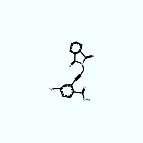 COC(=O)c1ccc(N)cc1C#CCN1C(=O)c2ccccc2C1=O